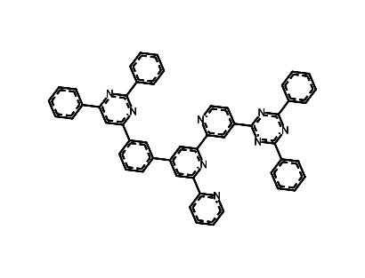 c1ccc(-c2cc(-c3cccc(-c4cc(-c5ccccn5)nc(-c5cc(-c6nc(-c7ccccc7)nc(-c7ccccc7)n6)ccn5)c4)c3)nc(-c3ccccc3)n2)cc1